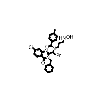 Cc1ccc(C(=O)N(CCCNO)C(c2nc3cc(Cl)ccc3c(=O)n2Cc2ccccc2)C(C)C)cc1